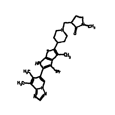 Cc1c(-c2[nH]c3sc(C4CCN(CC5CCN(C)C5=O)CC4)c(C)c3c2C(C)C)cn2ncnc2c1C